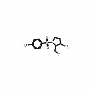 Cc1ccc(S(=O)(=O)N2CCC(C)C2CCl)cc1